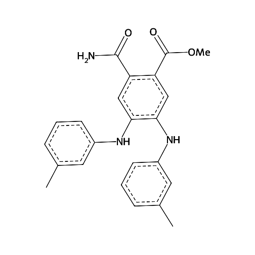 COC(=O)c1cc(Nc2cccc(C)c2)c(Nc2cccc(C)c2)cc1C(N)=O